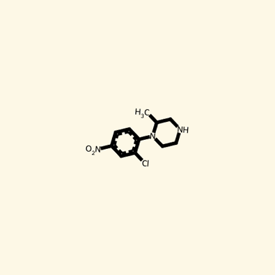 CC1CNCCN1c1ccc([N+](=O)[O-])cc1Cl